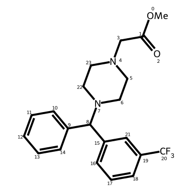 COC(=O)CN1CCN(C(c2ccccc2)c2cccc(C(F)(F)F)c2)CC1